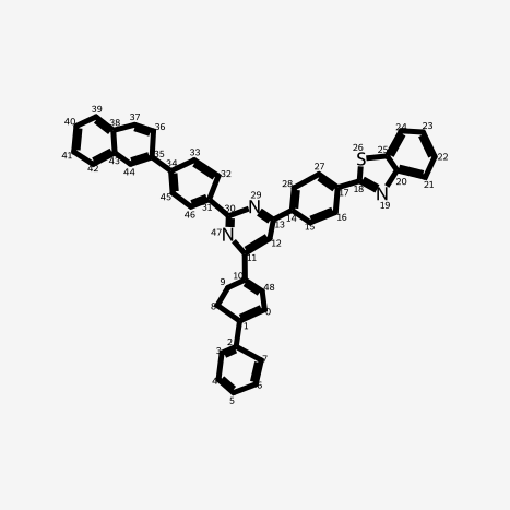 C1=C(c2ccccc2)CCC(c2cc(-c3ccc(-c4nc5ccccc5s4)cc3)nc(-c3ccc(-c4ccc5ccccc5c4)cc3)n2)=C1